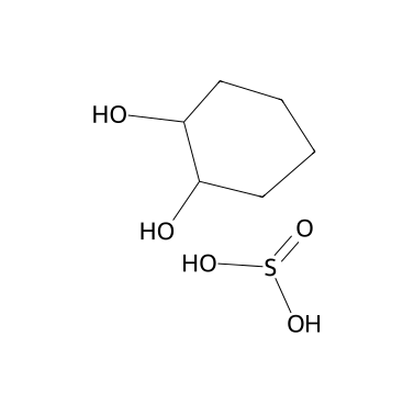 O=S(O)O.OC1CCCCC1O